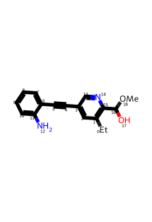 CCc1cc(C#Cc2ccccc2N)cnc1C(O)OC